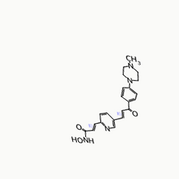 CN1CCN(c2ccc(C(=O)/C=C/c3ccc(/C=C/C(=O)NO)nc3)cc2)CC1